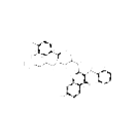 Cc1ccc(C(=O)N(CCCN)CC(C)Cc2oc3cc(F)ccc3c(=O)c2Cc2ccccc2)cc1F